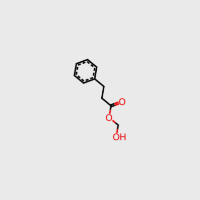 O=C(CCc1ccccc1)OCO